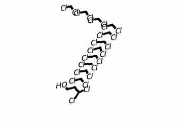 ClCCl.ClCCl.ClCCl.ClCCl.ClCCl.ClCCl.ClCCl.ClCCl.ClCCl.ClCCl.ClCCl.OCCC(Cl)Cl